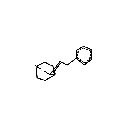 C(Cc1ccccc1)=C1CN2CCC1CC2